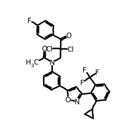 CC(=O)N(CC(Cl)(Cl)C(=O)c1ccc(F)cc1)c1cccc(-c2cc(-c3c(C4CC4)cccc3C(F)(F)F)no2)c1